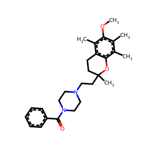 COc1c(C)c(C)c2c(c1C)CCC(C)(CCN1CCN(C(=O)c3ccccc3)CC1)O2